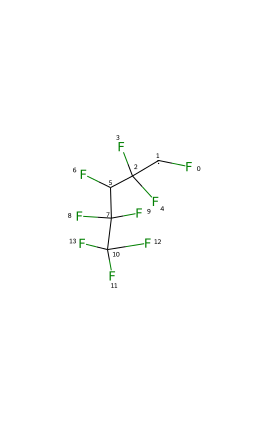 F[CH]C(F)(F)C(F)C(F)(F)C(F)(F)F